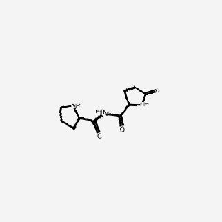 O=C1CCC(C(=O)NC(=O)C2CCCN2)N1